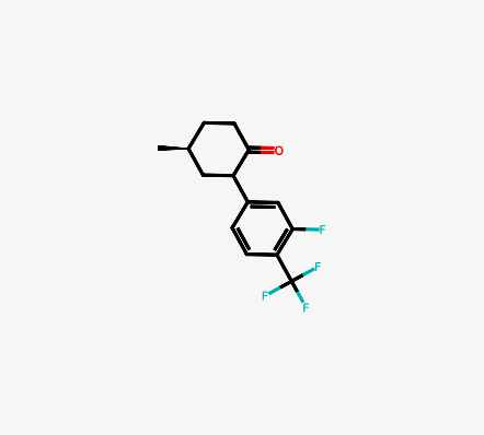 C[C@H]1CCC(=O)C(c2ccc(C(F)(F)F)c(F)c2)C1